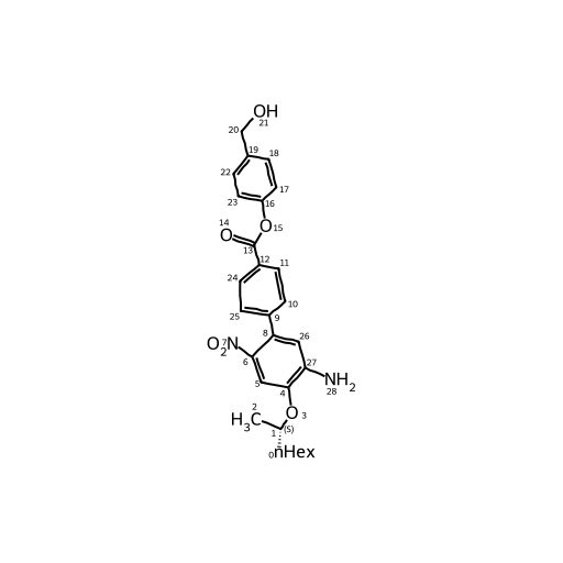 CCCCCC[C@H](C)Oc1cc([N+](=O)[O-])c(-c2ccc(C(=O)Oc3ccc(CO)cc3)cc2)cc1N